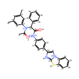 CC(=O)N(c1cc(C)cc(C)c1)C(C(=O)Nc1ccc(-c2cn3c(n2)sc2ccccc23)cc1)c1ccccc1